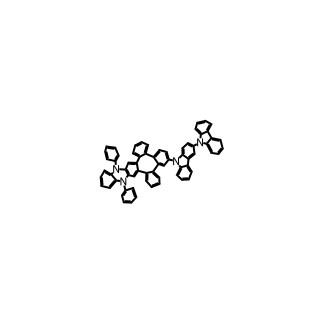 c1ccc(-n2c3ccccc3n(-c3ccccc3)c3cc4c5ccccc5c5cc(-n6c7ccccc7c7cc(-n8c9ccccc9c9ccccc98)ccc76)ccc5c5ccccc5c4cc32)cc1